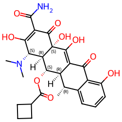 C[C@H]1c2cccc(O)c2C(=O)C2=C(O)[C@]3(O)C(=O)C(C(N)=O)=C(O)[C@@H](N(C)C)[C@@H]3[C@@H](OC(=O)C3CCC3)[C@@H]21